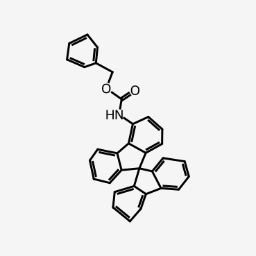 O=C(Nc1cccc2c1-c1ccccc1C21c2ccccc2-c2ccccc21)OCc1ccccc1